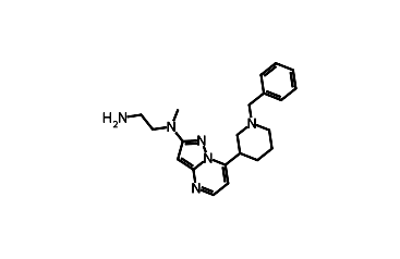 CN(CCN)c1cc2nccc(C3CCCN(Cc4ccccc4)C3)n2n1